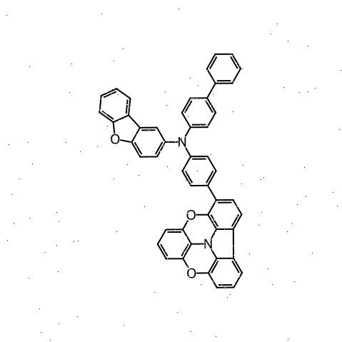 c1ccc(-c2ccc(N(c3ccc(-c4ccc5c6cccc7c6n6c5c4Oc4cccc(c4-6)O7)cc3)c3ccc4oc5ccccc5c4c3)cc2)cc1